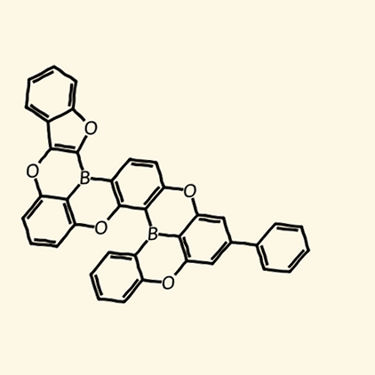 c1ccc(-c2cc3c4c(c2)Oc2ccc5c(c2B4c2ccccc2O3)Oc2cccc3c2B5c2oc4ccccc4c2O3)cc1